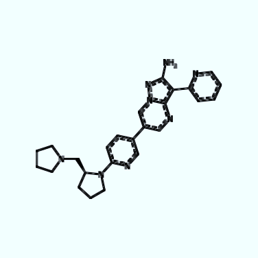 Nc1nn2cc(-c3ccc(N4CCC[C@H]4CN4CCCC4)nc3)cnc2c1-c1ccccn1